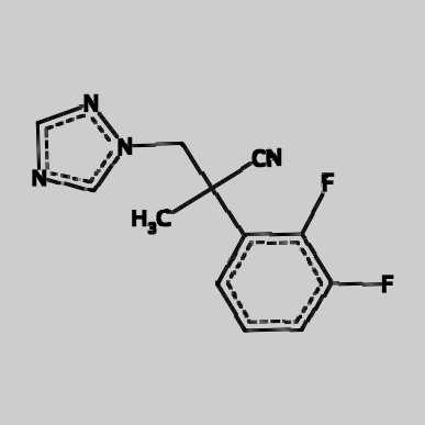 CC(C#N)(Cn1cncn1)c1cccc(F)c1F